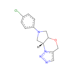 Clc1ccc(N2CC3OCc4cnnn4[C@@H]3C2)cc1